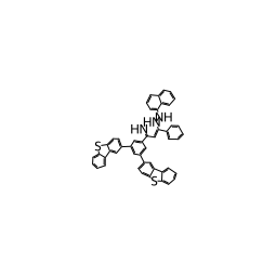 N=C(/C=C(\NNc1cccc2ccccc12)c1ccccc1)c1cc(-c2ccc3sc4ccccc4c3c2)cc(-c2ccc3sc4ccccc4c3c2)c1